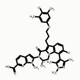 Cc1cc(OCCCc2c3n(c4c(-c5c(C)nn(C)c5C)c(Cl)ccc24)C[C@@H](C)N(c2cc4ccc(C(=O)O)nc4n2C)C3=O)cc(C)c1Cl